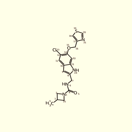 CC1CN(C(=O)NCc2cc3cc(Cl)c(OCc4cscn4)cc3[nH]2)C1